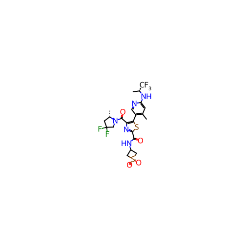 Cc1cc(N[C@@H](C)C(F)(F)F)ncc1-c1sc(C(=O)NC2CS(=O)(=O)C2)nc1C(=O)N1CC(F)(F)C[C@@H]1C